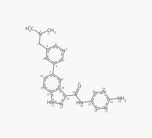 CN(C)Cc1cncc(-c2ccc3[nH]nc(C(=O)Nc4cnc(N)nc4)c3c2)c1